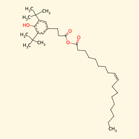 CCCCCCCC/C=C\CCCCCCCC(=O)OC(=O)CCc1cc(C(C)(C)C)c(O)c(C(C)(C)C)c1